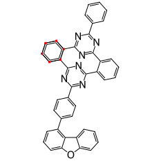 c1ccc(-c2nc(-c3ccccc3)nc(-c3ccccc3-c3nc(-c4ccccc4)nc(-c4ccc(-c5cccc6oc7ccccc7c56)cc4)n3)n2)cc1